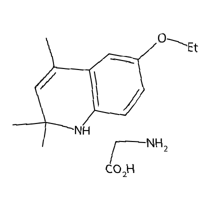 CCOc1ccc2c(c1)C(C)=CC(C)(C)N2.NCC(=O)O